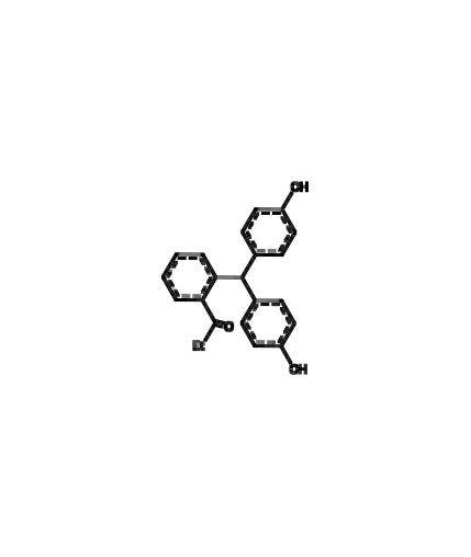 CCC(=O)c1ccccc1C(c1ccc(O)cc1)c1ccc(O)cc1